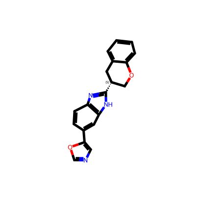 c1ccc2c(c1)C[C@@H](c1nc3ccc(-c4cnco4)cc3[nH]1)CO2